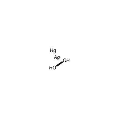 OO.[Ag].[Hg]